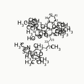 C/C(=C/C[C@H](O[Si](C)(C)C(C)(C)C)/C(C)=C/c1csc(C)n1)CCC[C@H](C)[C@H](O[Si](C)(C)C(C)(C)C)[C@@H](Cc1ccccc1)C(=O)C(C)(C)[C@H](CC(=O)O)O[Si](C)(C)C(C)(C)C